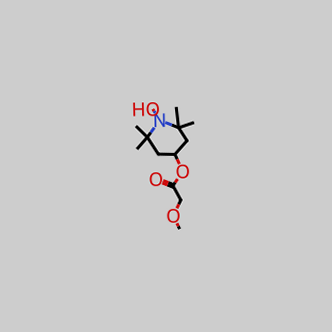 COCC(=O)OC1CC(C)(C)N(O)C(C)(C)C1